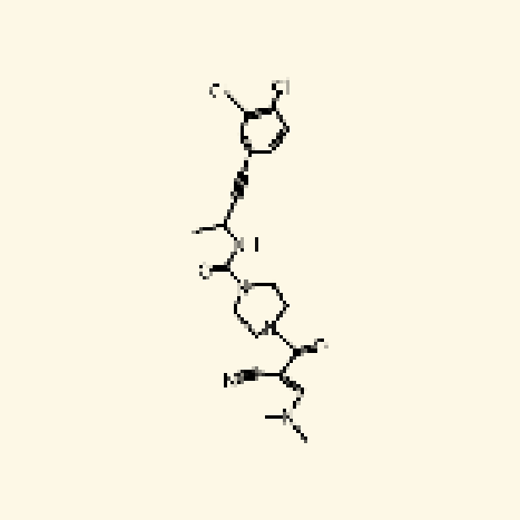 CC(C#Cc1ccc(Cl)c(Cl)c1)NC(=O)N1CCN(C(=O)/C(C#N)=C/N(C)C)CC1